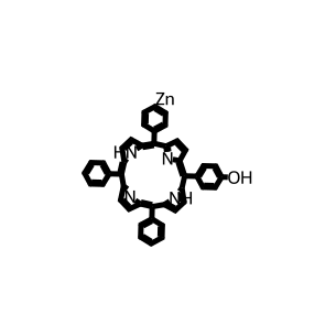 Oc1ccc(-c2c3nc(c(-c4ccccc4)c4ccc([nH]4)c(-c4ccccc4)c4nc(c(-c5ccccc5)c5ccc2[nH]5)C=C4)C=C3)cc1.[Zn]